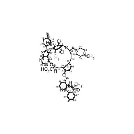 Cc1c(Cl)c2c(Cl)c(C)c1-c1c(-c3ccc(F)cc3)sc3ncnc(c13)O[C@@H](C(=O)O)Cc1cc(ccc1OCc1ccnc(-c3ccccc3S(C)(=N)=O)n1)CCC(CN1CCN(C)CC1)O2